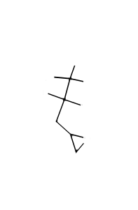 FC(F)(F)C(F)(C(F)(F)F)C(F)(F)CC1CO1